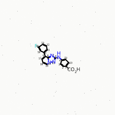 O=C(O)c1ccc(Nc2nc3c(-c4cccc(F)c4)cccn3n2)cc1